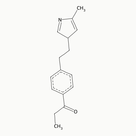 CCC(=O)c1ccc(CCC2C=NC(C)=C2)cc1